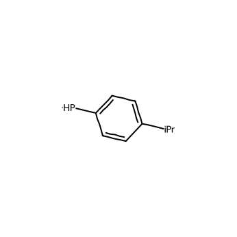 CC(C)c1ccc([PH])cc1